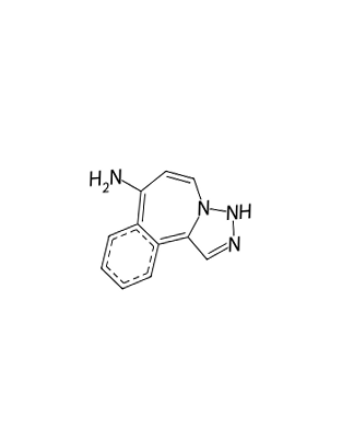 NC1=c2ccccc2=C2C=NNN2C=C1